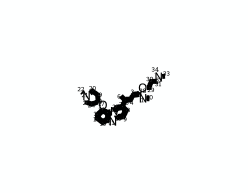 C=N/C(=C\C=C(/C)c1ccc2nc3cccc(OC4CCN(C)CC4)c3n2c1)OCCCN(C)C